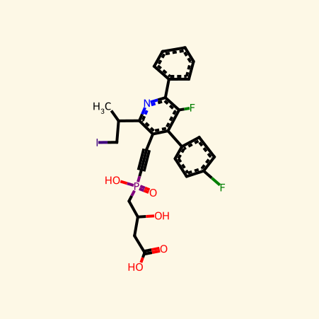 CC(CI)c1nc(-c2ccccc2)c(F)c(-c2ccc(F)cc2)c1C#CP(=O)(O)CC(O)CC(=O)O